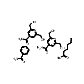 CCCCCC(=O)O.NC(=O)c1cc(CO)nc(CO)c1.NC(=O)c1cc(CO)nc(CO)c1.NC(=O)c1ccccc1